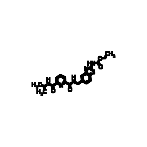 CCOC(=O)Nc1nc2cc(CNC(=O)c3cccc(C(=O)NC(C)C)n3)ccc2s1